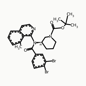 Cc1cccc2ccnc(N(C(=O)c3ccc(Br)c(Br)c3)[C@@H]3CCCN(C(=O)OC(C)(C)C)C3)c12